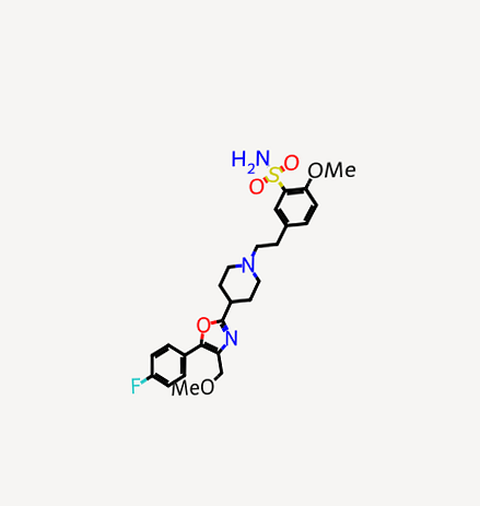 COCc1nc(C2CCN(CCc3ccc(OC)c(S(N)(=O)=O)c3)CC2)oc1-c1ccc(F)cc1